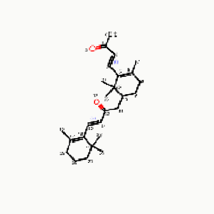 CCC(=O)/C=C/C1=C(C)CCC(CC(=O)/C=C/C2=C(C)CCCC2(C)C)C1(C)C